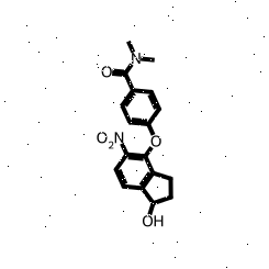 CN(C)C(=O)c1ccc(Oc2c([N+](=O)[O-])ccc3c2CCC3O)cc1